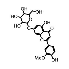 COc1cc(-c2cc(=O)c3c(O)cc(OC4OC(CO)C(O)C(O)C4O)cc3o2)ccc1O